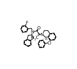 C[C@@H](C(=O)N(Cc1ccccc1F)C1Cc2ccccc2C1)N1CCc2ccccc2[C@@H]1c1ccccc1Cl